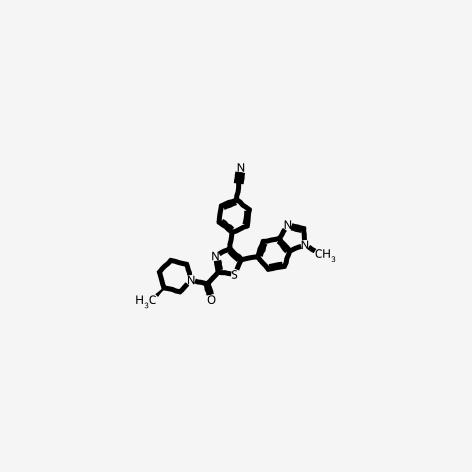 C[C@H]1CCCN(C(=O)c2nc(-c3ccc(C#N)cc3)c(-c3ccc4c(c3)ncn4C)s2)C1